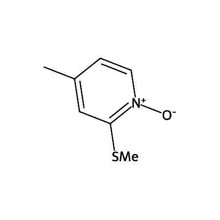 CSc1cc(C)cc[n+]1[O-]